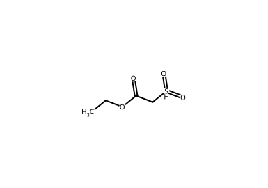 CCOC(=O)C[SH](=O)=O